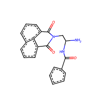 NC(CN1C(=O)c2cccc3cccc(c23)C1=O)NC(=O)c1ccccc1